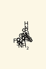 CNC1CCC([C@H]2COc3c(-c4ccc(F)c5sc(N)nc45)c(Cl)cc4c(N5CC6CCC(C5)N6)nc(=O)n2c34)C1